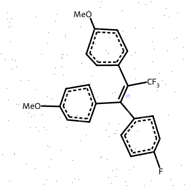 COc1ccc(/C(=C(\c2ccc(OC)cc2)C(F)(F)F)c2ccc(F)cc2)cc1